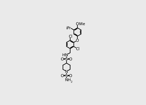 COc1ccc(Oc2c(Cl)ccc(CNS(=O)(=O)C3CCN(S(N)(=O)=O)CC3)c2Cl)cc1C(C)C